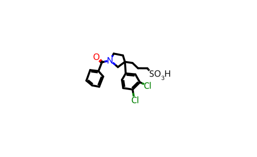 O=C(c1ccccc1)N1CCC(CCCS(=O)(=O)O)(c2ccc(Cl)c(Cl)c2)C1